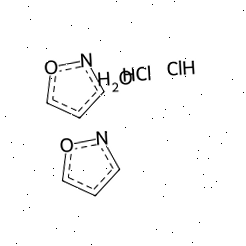 Cl.Cl.O.c1cnoc1.c1cnoc1